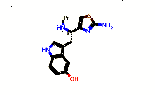 CC(C)N[C@@H](Cc1c[nH]c2ccc(O)cc12)c1csc(N)n1